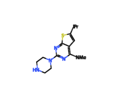 CNc1nc(N2CCNCC2)nc2sc(C(C)C)cc12